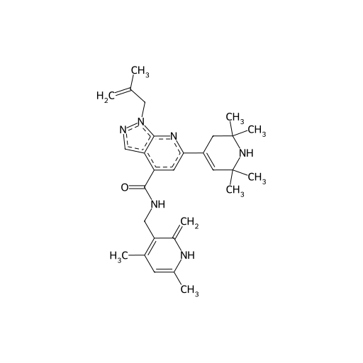 C=C(C)Cn1ncc2c(C(=O)NCC3=C(C)C=C(C)NC3=C)cc(C3=CC(C)(C)NC(C)(C)C3)nc21